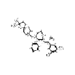 C[C@@H](O[C@H]1OCC[C@H](CN2CCC3(CC2)CCC(C)(C)O3)[C@H]1c1ccccc1)c1cc(C(F)(F)F)cc(C(F)(F)F)c1